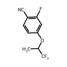 CC(Oc1ccc(C#N)c(F)c1)C(F)(F)F